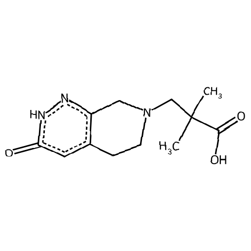 CC(C)(CN1CCc2cc(=O)[nH]nc2C1)C(=O)O